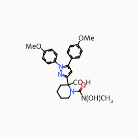 COc1ccc(-c2cc(C3(C(=O)O)CCCCN3C(=O)N(C)O)nn2-c2ccc(OC)cc2)cc1